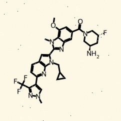 COc1cc(C(=O)N2C[C@H](N)C[C@@H](F)C2)cc2nc(-c3cc4ccc(-c5cn(C)nc5C(F)(F)F)nc4n3CC3CC3)n(C)c12